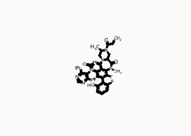 C=CC(=O)N1CC2C(=O)N(C)c3c(F)c(-c4c(O)cccc4F)c(F)c4c3c(nc(=O)n4-c3c(C(C)C)ncnc3C(C)C)N2CC1C